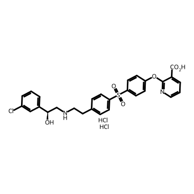 Cl.Cl.O=C(O)c1cccnc1Oc1ccc(S(=O)(=O)c2ccc(CCNC[C@@H](O)c3cccc(Cl)c3)cc2)cc1